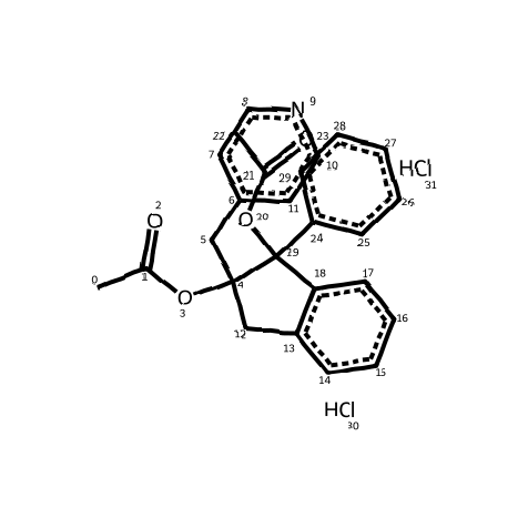 CC(=O)OC1(Cc2ccncc2)Cc2ccccc2C1(OC(C)=O)c1ccccc1.Cl.Cl